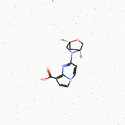 O=C(O)c1ccn2ccc(N3C[C@@H]4C[C@H]3CO4)nc12